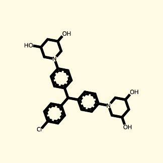 OC1CC(O)CN(c2ccc(C(c3ccc(Cl)cc3)c3ccc(N4CC(O)CC(O)C4)cc3)cc2)C1